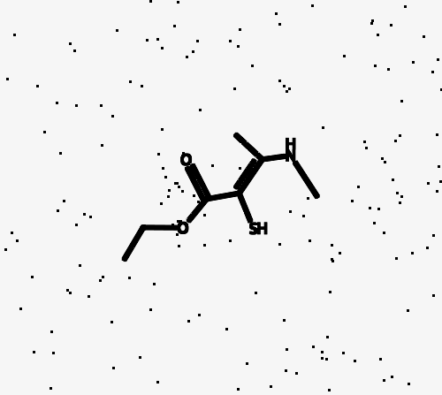 CCOC(=O)/C(S)=C(\C)NC